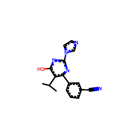 CC(C)c1c(O)nc(-n2ccnc2)nc1-c1cccc(C#N)c1